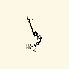 CCCCCCCCCCc1ccc(-c2noc(CC3CN(C(=O)OC(C)(C)C)C3)n2)cc1